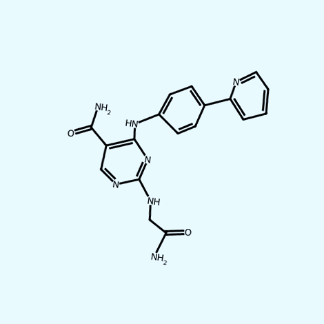 NC(=O)CNc1ncc(C(N)=O)c(Nc2ccc(-c3ccccn3)cc2)n1